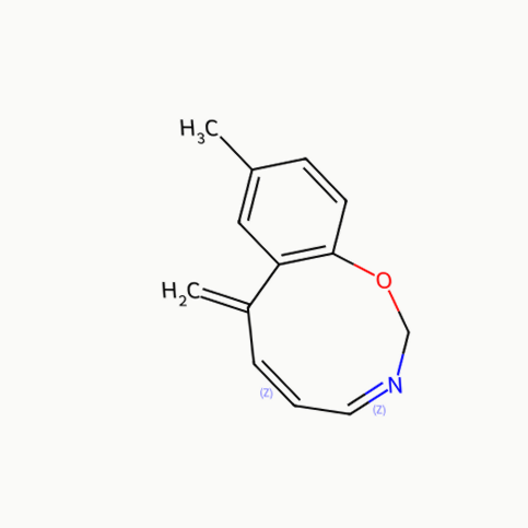 C=C1/C=C\C=N/COc2ccc(C)cc21